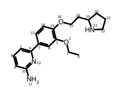 CCOc1cc(-c2cccc(N)n2)ccc1OCCC1CCCN1